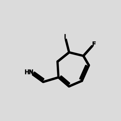 N=CC1=CC=CC(F)C(I)C1